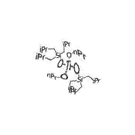 CCC[O][Ti]([O]CCC)([O][Si](CC(C)C)(CC(C)C)CC(C)C)[O][Si](CC(C)C)(CC(C)C)CC(C)C